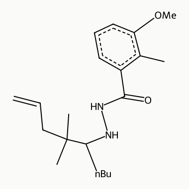 C=CCC(C)(C)C(CCCC)NNC(=O)c1cccc(OC)c1C